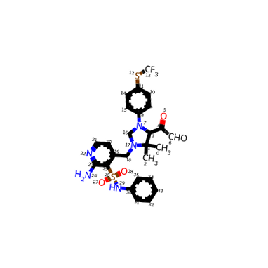 CC1(C)C(C(=O)C=O)N(c2ccc(SC(F)(F)F)cc2)CN1Cc1ccnc(N)c1S(=O)(=O)Nc1ccccc1